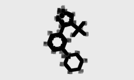 CC(C)(C)c1c[nH]nc1-c1cccc(N2CCCCC2)c1